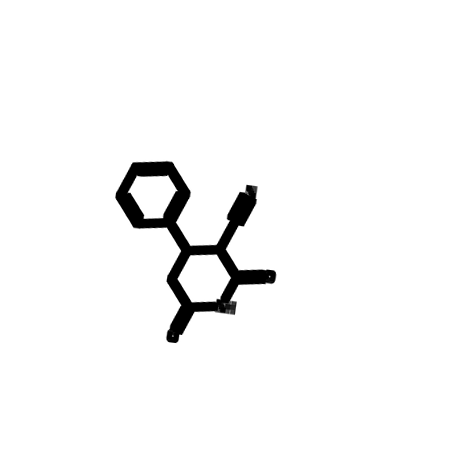 N#CC1C(=O)NC(=O)CC1c1ccccc1